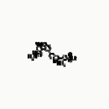 CCS(=O)(=O)c1ccc(-c2cc3cc(-c4cnc(OC)c(-c5c(F)ccc(S(N)(=O)=O)c5F)c4)ccc3nc2N)cc1